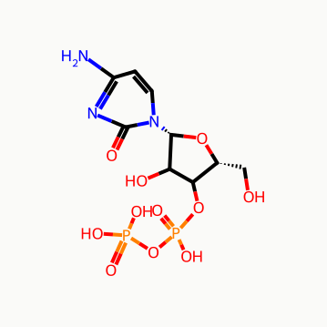 Nc1ccn([C@@H]2O[C@H](CO)C(OP(=O)(O)OP(=O)(O)O)C2O)c(=O)n1